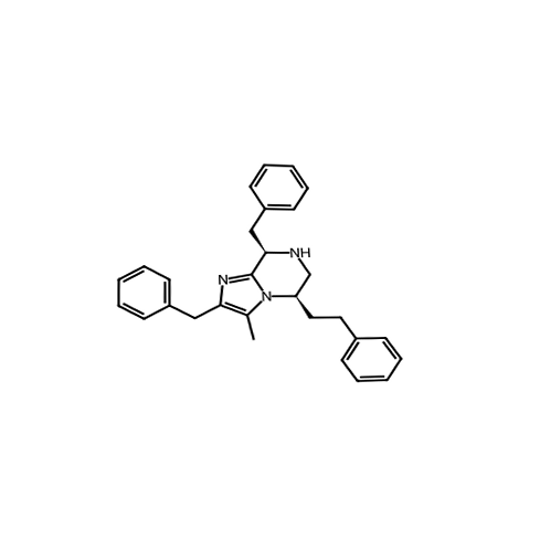 Cc1c(Cc2ccccc2)nc2n1[C@H](CCc1ccccc1)CN[C@@H]2Cc1ccccc1